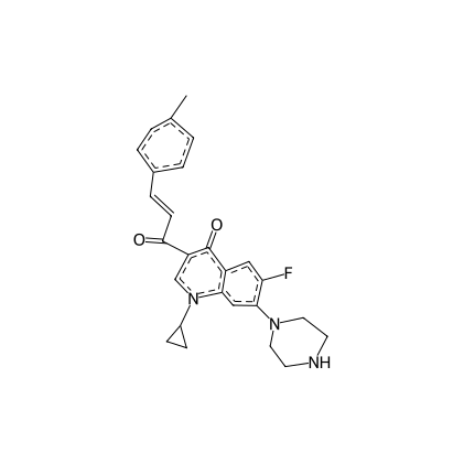 Cc1ccc(C=CC(=O)c2cn(C3CC3)c3cc(N4CCNCC4)c(F)cc3c2=O)cc1